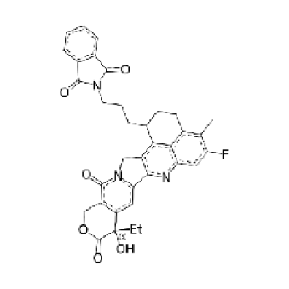 CC[C@@]1(O)C(=O)OCc2c1cc1n(c2=O)Cc2c-1nc1cc(F)c(C)c3c1c2C(CCCN1C(=O)c2ccccc2C1=O)CC3